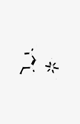 CN(C)C=[N+](C)CCl.F[P-](F)(F)(F)(F)F